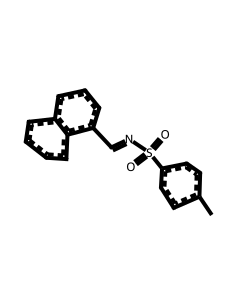 Cc1ccc(S(=O)(=O)N=Cc2cccc3ccccc23)cc1